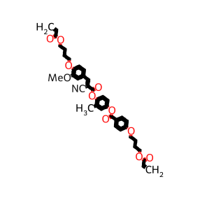 C=CC(=O)OCCCCOc1ccc(C(=O)Oc2ccc(OC(=O)/C(C#N)=C/c3ccc(OCCCCOC(=O)C=C)c(OC)c3)c(C)c2)cc1